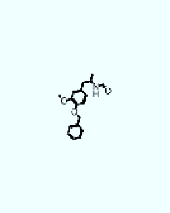 COc1cc(CC(C)NC=O)ccc1OCc1ccccc1